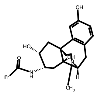 CC(C)C(=O)N[C@H]1C[C@@]2(O)[C@H]3Cc4ccc(O)cc4[C@@]2(CCN3C)C[C@H]1O